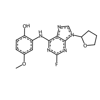 COc1ccc(O)c(Nc2nc(F)nc3c2ncn3C2CCCO2)c1